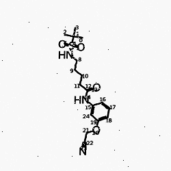 CC(C)(C)S(=O)(=O)NCCCCC(=O)Nc1cccc(OCC#N)c1